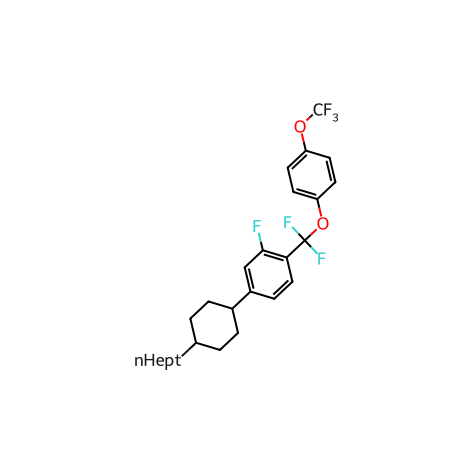 CCCCCCCC1CCC(c2ccc(C(F)(F)Oc3ccc(OC(F)(F)F)cc3)c(F)c2)CC1